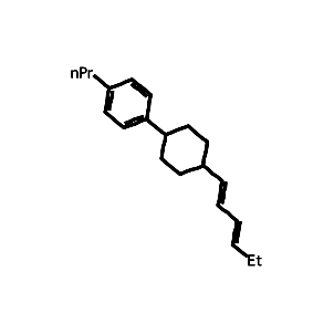 CCC=CC=CC1CCC(c2ccc(CCC)cc2)CC1